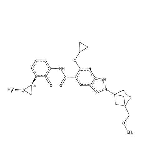 COCC12CC(n3cc4cc(C(=O)Nc5cccn([C@H]6C[C@H]6C)c5=O)c(OC5CC5)nc4n3)(CO1)C2